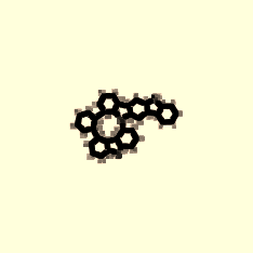 c1ccc2c(c1)sc1cc3c4cccc5c6ccccc6c6cccc7sc8cccc(c8c76)n(c3cc12)c54